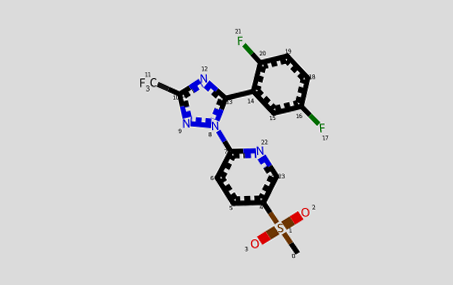 CS(=O)(=O)c1ccc(-n2nc(C(F)(F)F)nc2-c2cc(F)ccc2F)nc1